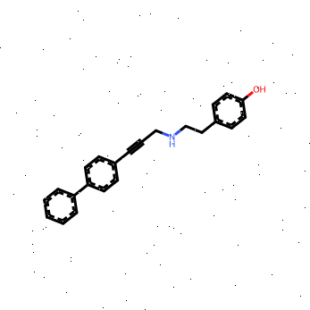 Oc1ccc(CCNCC#Cc2ccc(-c3ccccc3)cc2)cc1